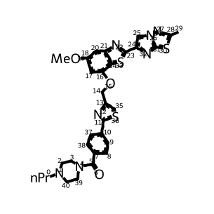 CCCN1CCN(C(=O)c2ccc(-c3nc(COc4cc(OC)cc5nc(-c6cn7nc(C)sc7n6)sc45)cs3)cc2)CC1